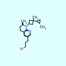 C=C1CCc2cc(CCCBr)cnc2N1C1CC(C)(C2C[C@@H]2C)C1